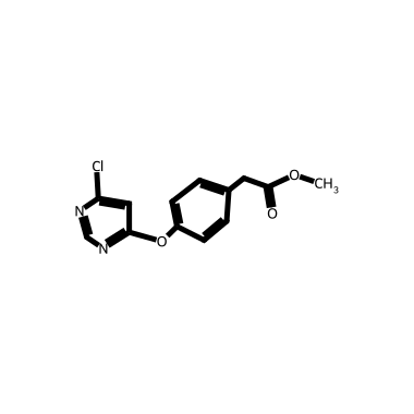 COC(=O)Cc1ccc(Oc2cc(Cl)ncn2)cc1